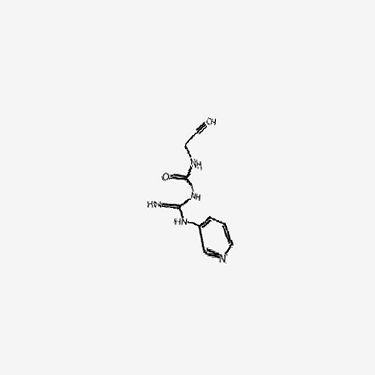 C#CCNC(=O)NC(=N)Nc1cccnc1